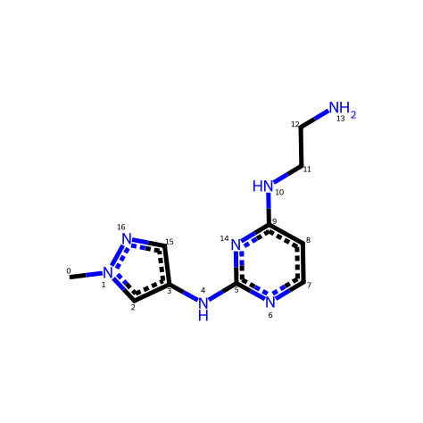 Cn1cc(Nc2nccc(NCCN)n2)cn1